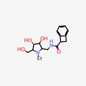 CCN1C(CNC(=O)C2Cc3ccccc32)C(O)[C@H](O)C1CO